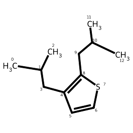 CC(C)Cc1ccsc1CC(C)C